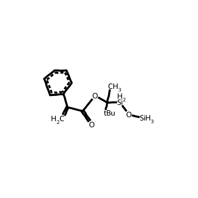 C=C(C(=O)OC(C)([SiH2]O[SiH3])C(C)(C)C)c1ccccc1